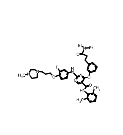 CCN(CC)C(=O)CCc1cccc(Oc2nc(Nc3ccc(OCCCN4CCN(C)CC4)c(F)c3)ncc2C(=O)Nc2c(C)cccc2C)c1